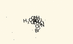 CC(C)(C)[Si](C)(C)OCc1cccnc1C(=O)CBr